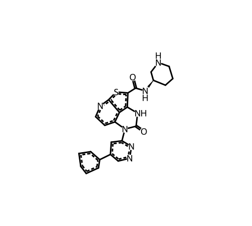 O=C(N[C@@H]1CCCNC1)c1sc2nccc3c2c1NC(=O)N3c1cc(-c2ccccc2)cnn1